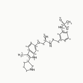 Cc1c(C2CCCNC2)[nH]c2cc(OC[C@@H](O)NCCc3cccc(NS(C)(=O)=O)c3)ccc12